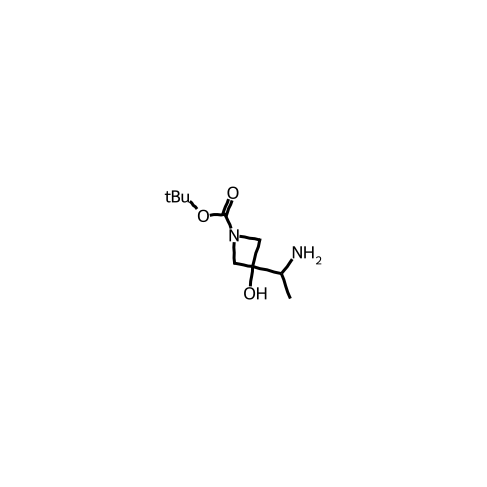 CC(N)C1(O)CN(C(=O)OC(C)(C)C)C1